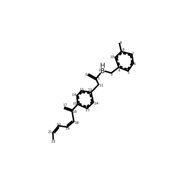 C=C(BCc1cccc(C)c1)Cc1ccc(C(=C)/C=C\C=C/C)cc1